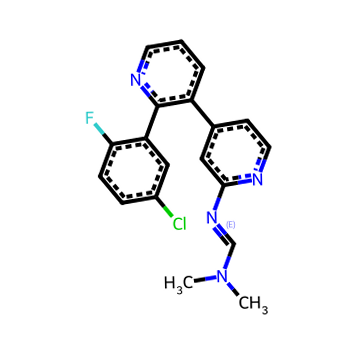 CN(C)/C=N/c1cc(-c2cccnc2-c2cc(Cl)ccc2F)ccn1